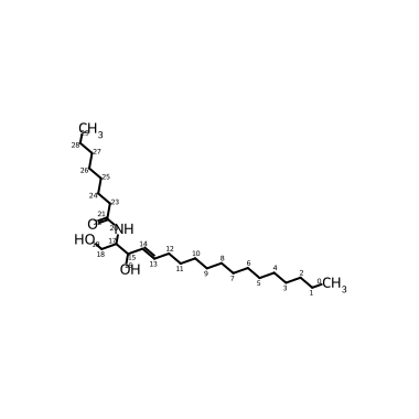 CCCCCCCCCCCCC/C=C/C(O)C(CO)NC(=O)CCCCCCC